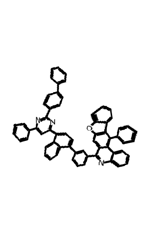 c1ccc(-c2ccc(-c3nc(-c4ccccc4)cc(-c4ccc(-c5cccc(-c6nc7ccccc7c7c(-c8ccccc8)c8c(cc67)oc6ccccc68)c5)c5ccccc45)n3)cc2)cc1